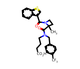 CC1(C(=O)N(CCCC(=O)O)Cc2ccc(C(F)(F)F)cc2)CCN1C(=O)c1csc2ccccc12